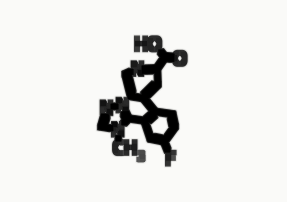 Cn1cnnc1-c1cc(F)ccc1-c1ccnc(C(=O)O)c1